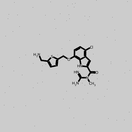 CN(C(=N)N)C(=O)c1cc2c(Cl)ccc(OCc3ccc(CN)s3)c2[nH]1